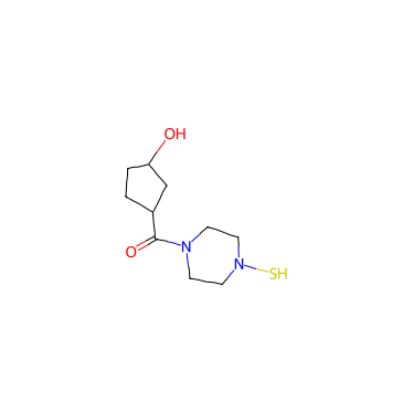 O=C(C1CCC(O)C1)N1CCN(S)CC1